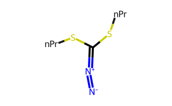 CCCSC(=[N+]=[N-])SCCC